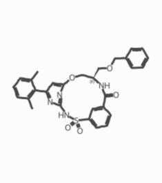 Cc1cccc(C)c1-c1cc2nc(n1)NS(=O)(=O)c1cccc(c1)C(=O)N[C@H](COCc1ccccc1)CO2